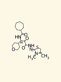 C[C@H]1CS/C(=N\NC(=O)C(=O)[C@H](NC(=O)C2CCCCCC2)C2CCOCC2)N1C